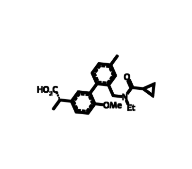 CCN(Cc1cc(C)ccc1-c1cc([C@H](C)C(=O)O)ccc1OC)C(=O)C1CC1